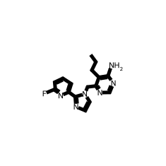 CCCc1c(N)ncnc1Cn1ccnc1-c1cccc(F)n1